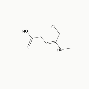 CNC(=CCC(=O)O)CCl